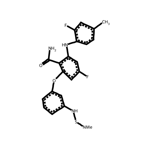 CNSNc1cccc(Oc2cc(F)cc(Nc3ccc(C)cc3F)c2C(N)=O)c1